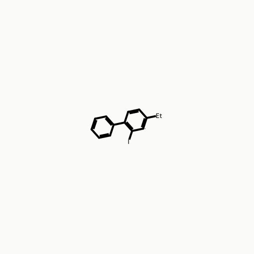 CCc1[c]c(I)c(-c2ccccc2)cc1